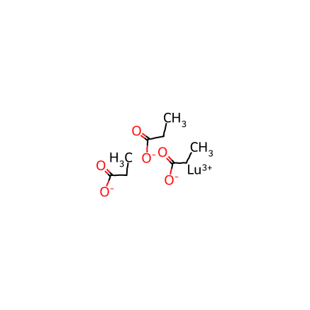 CCC(=O)[O-].CCC(=O)[O-].CCC(=O)[O-].[Lu+3]